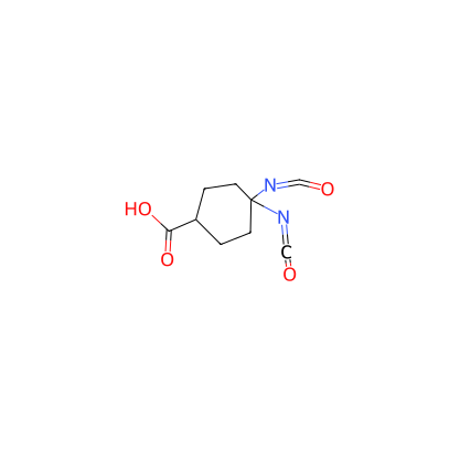 O=C=NC1(N=C=O)CCC(C(=O)O)CC1